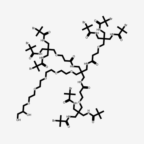 CC(C)(C)C(=O)NCC(CNC(=O)C(C)(C)Br)(CNC(=O)C(C)(C)Br)COCCC(=O)NCC(CNC(=O)CCOCC(CNC(=O)C(C)(C)Br)(CNC(=O)C(C)(C)Br)CNC(=O)C(C)(C)Br)(CNC(=O)CCOCC(CNC(=O)C(C)(C)Br)(CNC(=O)C(C)(C)Br)CNC(=O)C(C)(C)Br)COCCOCCOCCOCCOCC(O)CO